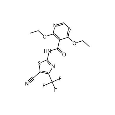 CCOc1ncnc(OCC)c1C(=O)Nc1nc(C(F)(F)F)c(C#N)s1